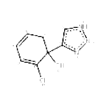 OC1(c2c[nH]nn2)CC=CC=C1Cl